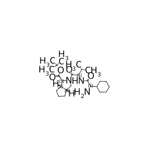 CC(C)[C@H](NC(=O)[C@@H](N)C1CCCCC1)C(=O)N1C[C@@H]2CCC[C@@H]2[C@H]1C(=O)OC(C)(C)C